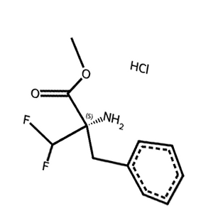 COC(=O)[C@@](N)(Cc1ccccc1)C(F)F.Cl